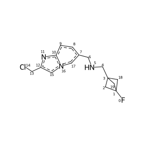 FC12CC(CNCc3ccc4nc(CCl)cn4c3)(C1)C2